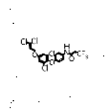 O=C(CC(F)(F)F)Nc1ccc(Oc2c(Cl)cc(OCC=C(Cl)Cl)cc2Cl)cc1